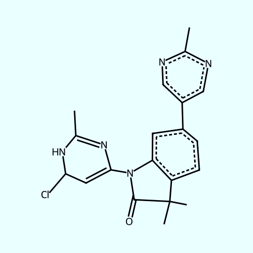 CC1=NC(N2C(=O)C(C)(C)c3ccc(-c4cnc(C)nc4)cc32)=CC(Cl)N1